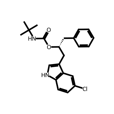 CC(C)(C)NC(=O)O[C@H](Cc1ccccc1)Cc1c[nH]c2ccc(Cl)cc12